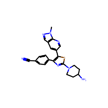 Cn1ncc2cc(-c3sc(N4CCC(N)CC4)nc3-c3ccc(C#N)cc3)cnc21